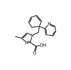 Cc1cn(CC2(c3ccccn3)C=CC=CC2)c(C(=O)O)n1